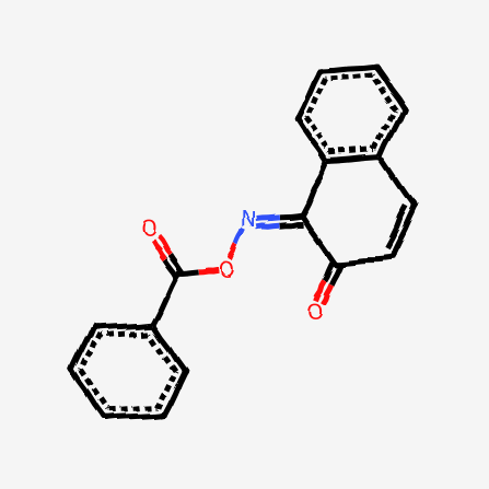 O=C1C=Cc2ccccc2C1=NOC(=O)c1ccccc1